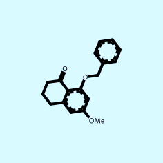 COc1cc2c(c(OCc3ccccc3)c1)C(=O)CCC2